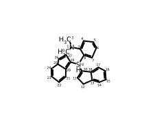 CN(C)c1ccccc1[SiH](C1=CCc2ccccc21)C1=C2C=CC=CC2C=C1